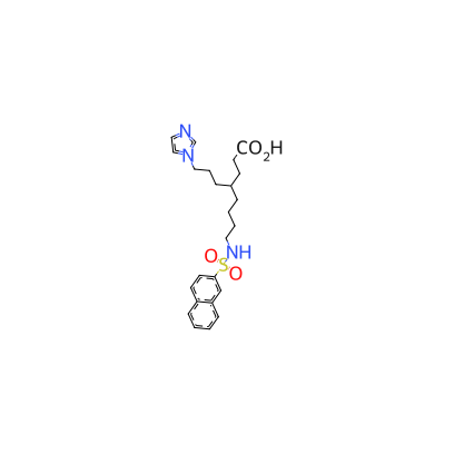 O=C(O)CCC(CCCCNS(=O)(=O)c1ccc2ccccc2c1)CCCn1ccnc1